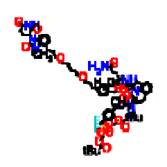 C/C(=C\C(=O)N[C@H]1CCc2cccc3c2N(C1=O)[C@H](C(=O)N[C@@H](CCC(N)=O)[C@@H](C)OCc1ccc(CCCOCCCCCOCCCc2cccc4c2n(C)c(=O)n4C2CCC(=O)NC2=O)cc1)C3)c1ccc(C(F)(F)P(=O)(OCOC(=O)C(C)(C)C)OCOC(=O)C(C)(C)C)cc1